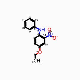 CCOc1ccc(Nc2ccccc2)c([N+](=O)[O-])c1